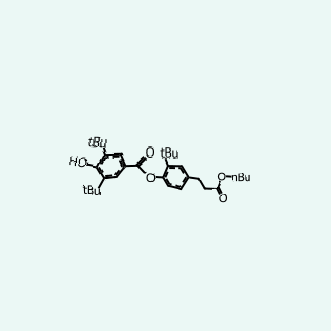 CCCCOC(=O)CCc1ccc(OC(=O)c2cc(C(C)(C)C)c(O)c(C(C)(C)C)c2)c(C(C)(C)C)c1